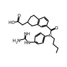 CCCCN(C(=O)c1ccc2c(c1)CC(CC(=O)O)CC2)c1ccc(NC(=N)N)cc1